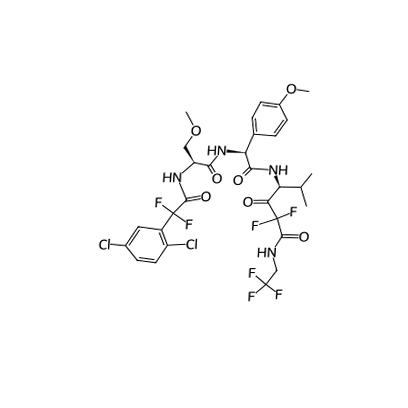 COC[C@H](NC(=O)C(F)(F)c1cc(Cl)ccc1Cl)C(=O)N[C@H](C(=O)N[C@H](C(=O)C(F)(F)C(=O)NCC(F)(F)F)C(C)C)c1ccc(OC)cc1